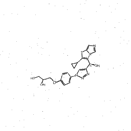 OCC(O)COc1ccc(-n2cc([C@H](O)c3c(C4CC4)sc4cncn34)nn2)cc1